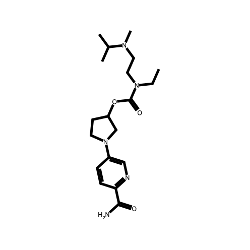 CCN(CCN(C)C(C)C)C(=O)OC1CCN(c2ccc(C(N)=O)nc2)C1